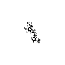 [2H]c1c(OC([2H])([2H])[2H])c([2H])c2[nH]c([S+]([O-])C([2H])([2H])c3ncc(C)c(OC([2H])([2H])[2H])c3C)nc2c1[2H]